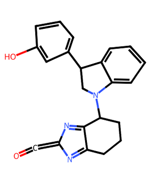 O=C=C1N=C2CCCC(N3CC(c4cccc(O)c4)c4ccccc43)C2=N1